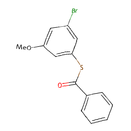 COc1cc(Br)cc(SC(=O)c2ccccc2)c1